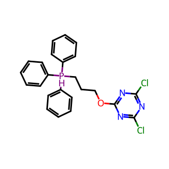 Clc1nc(Cl)nc(OCCC[PH](c2ccccc2)(c2ccccc2)c2ccccc2)n1